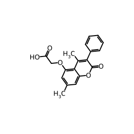 Cc1cc(OCC(=O)O)c2c(C)c(-c3ccccc3)c(=O)oc2c1